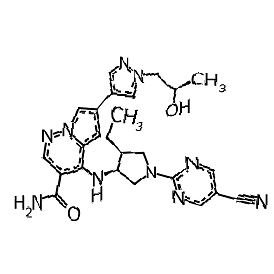 CC[C@H]1CN(c2ncc(C#N)cn2)C[C@H]1Nc1c(C(N)=O)cnn2cc(-c3cnn(C[C@@H](C)O)c3)cc12